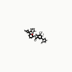 CC1CC(c2cccc(N3Cc4c(cc(C5CCCN5C)cc4C(F)(F)F)C3=O)c2)(c2nncn2C)C1